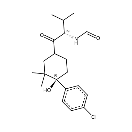 CC(C)[C@H](NC=O)C(=O)C1CC[C@](O)(c2ccc(Cl)cc2)C(C)(C)C1